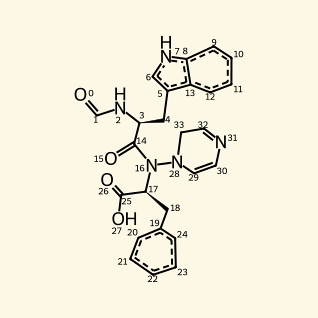 O=CN[C@@H](Cc1c[nH]c2ccccc12)C(=O)N([C@@H](Cc1ccccc1)C(=O)O)N1C=CN=CC1